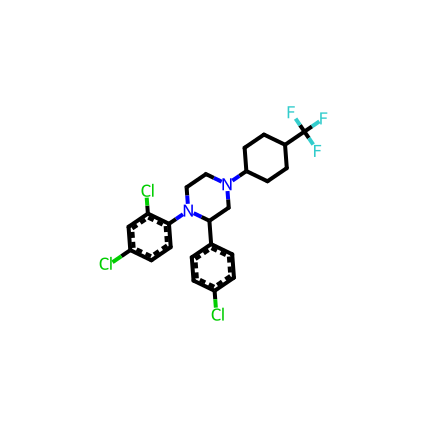 FC(F)(F)C1CCC(N2CCN(c3ccc(Cl)cc3Cl)C(c3ccc(Cl)cc3)C2)CC1